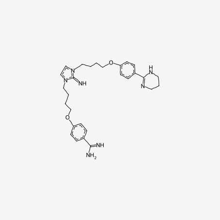 N=C(N)c1ccc(OCCCCn2ccn(CCCCOc3ccc(C4=NCCCN4)cc3)c2=N)cc1